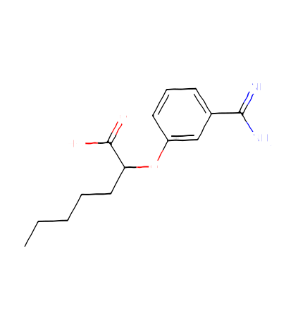 CCCCCC(Oc1cccc(C(=N)N)c1)C(=O)O